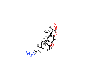 Cc1oc2c(C)c3oc(=O)cc(C)c3cc2c1CCCCCN